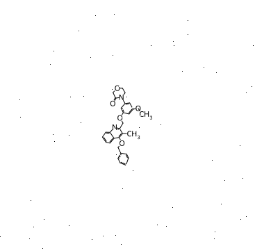 COc1cc(OCc2nc3ccccc3c(OCc3ccccc3)c2C)cc(N2CCOCC2=O)c1